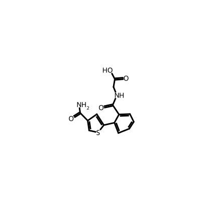 NC(=O)c1csc(-c2ccccc2C(=O)NCC(=O)O)c1